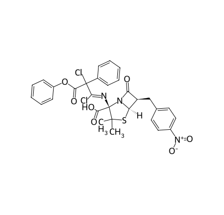 CC1(C)S[C@@H]2[C@H](Cc3ccc([N+](=O)[O-])cc3)C(=O)N2[C@@]1(N=C(Cl)C(Cl)(C(=O)Oc1ccccc1)c1ccccc1)C(=O)O